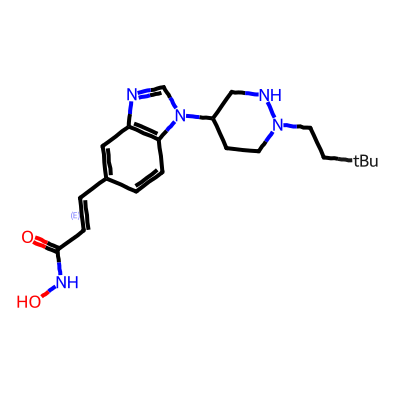 CC(C)(C)CCN1CCC(n2cnc3cc(/C=C/C(=O)NO)ccc32)CN1